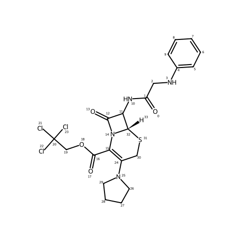 O=C(CNc1ccccc1)NC1C(=O)N2C(C(=O)OCC(Cl)(Cl)Cl)=C(N3CCCC3)CS[C@@H]12